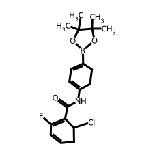 CC1(C)OB(C2=CC=C(NC(=O)C3=C(F)C=CCC3Cl)CC2)OC1(C)C